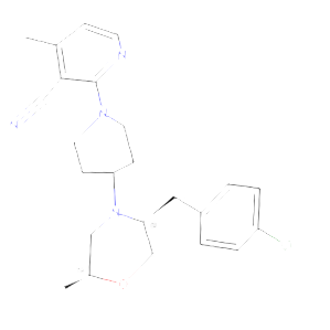 Cc1ccnc(N2CCC(N3C[C@H](C)OC[C@@H]3Cc3ccc(Cl)cc3)CC2)c1C#N